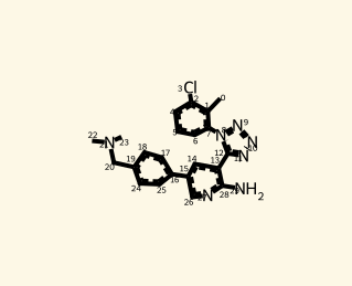 Cc1c(Cl)cccc1-n1nnnc1-c1cc(-c2ccc(CN(C)C)cc2)cnc1N